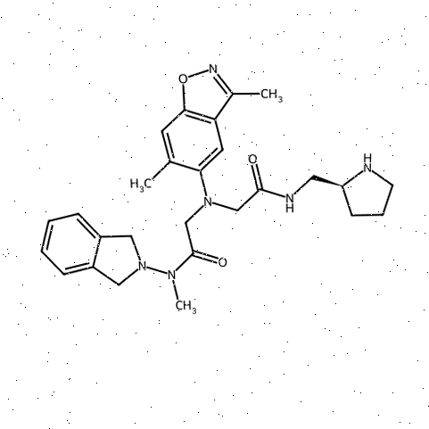 Cc1cc2onc(C)c2cc1N(CC(=O)NC[C@@H]1CCCN1)CC(=O)N(C)N1Cc2ccccc2C1